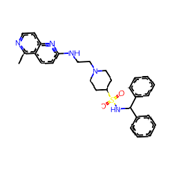 Cc1nccc2nc(NCCN3CCC(S(=O)(=O)NC(c4ccccc4)c4ccccc4)CC3)ccc12